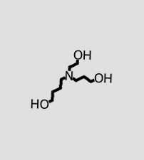 OCCCCN(CCO)CCCO